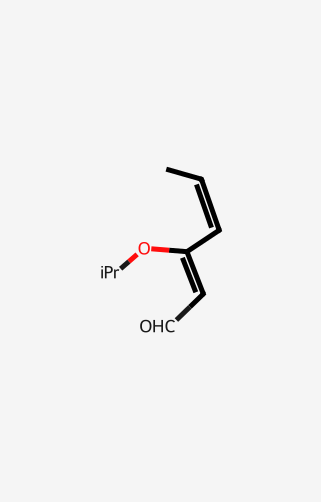 C/C=C\C(=CC=O)OC(C)C